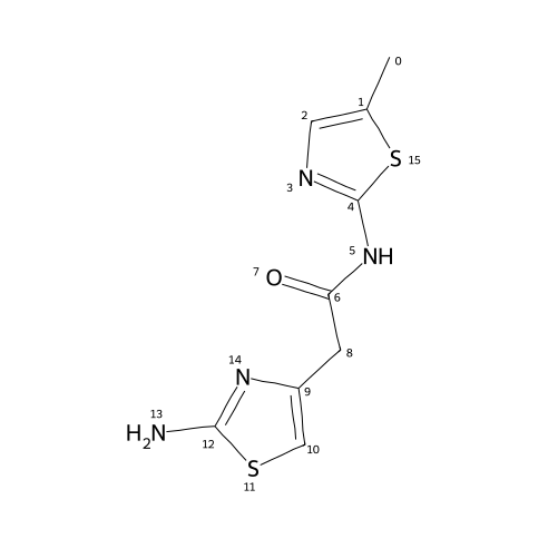 Cc1cnc(NC(=O)Cc2csc(N)n2)s1